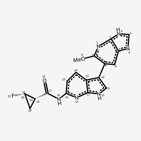 COc1nc2[nH]cnc2cc1-c1c[nH]c2nc(NC(=O)[C@@H]3C[C@@H]3F)ccc12